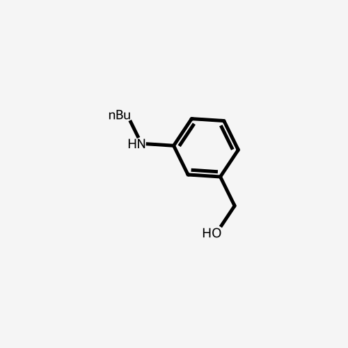 CCCCNc1cccc(CO)c1